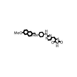 COc1ccc2cc(CN[C@H]3CC[C@H](Nc4nccc(C=C5SC(=O)NC5=O)n4)CC3)ccc2c1